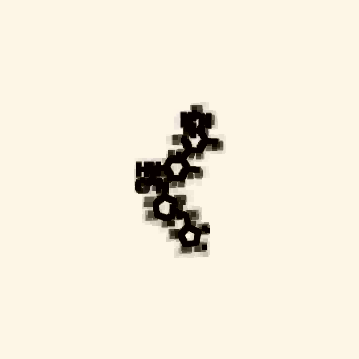 Cc1cc2c(cc1-c1cc(C)c3ncnn3c1)[nH]c(=O)n2[C@@H]1CCCN(CC2CCCC2)C1